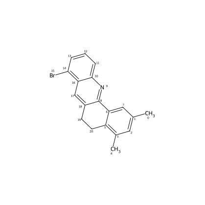 Cc1cc(C)c2c(c1)-c1nc3cccc(Br)c3cc1CC2